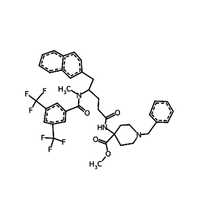 COC(=O)C1(NC(=O)CCC(Cc2ccc3ccccc3c2)N(C)C(=O)c2cc(C(F)(F)F)cc(C(F)(F)F)c2)CCN(Cc2ccccc2)CC1